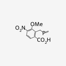 C=PCc1c(C(=O)O)ccc([N+](=O)[O-])c1OC